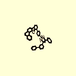 c1ccc(-c2cccc(-c3cc(-c4ccccc4)nc(-c4ccc(-c5cccc6c5oc5c6ccc6ccc7ccccc7c65)cc4)n3)c2)cc1